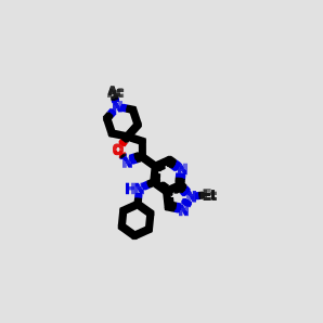 CCn1ncc2c(NC3CCCCC3)c(C3=NOC4(CCN(C(C)=O)CC4)C3)cnc21